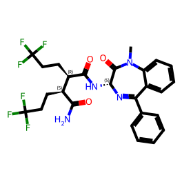 CN1C(=O)[C@@H](NC(=O)[C@H](CCC(F)(F)F)[C@H](CCC(F)(F)F)C(N)=O)N=C(c2ccccc2)c2ccccc21